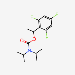 CC(OC(=O)N(C(C)C)C(C)C)c1c(F)cc(F)cc1F